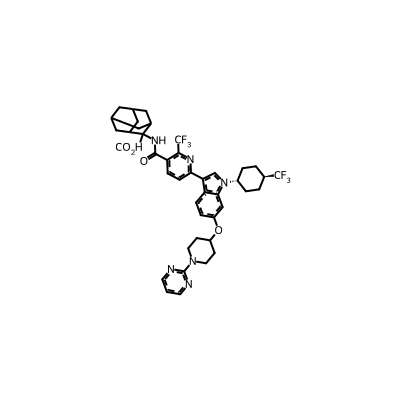 O=C(NC1(C(=O)O)C2CC3CC(C2)CC1C3)c1ccc(-c2cn([C@H]3CC[C@H](C(F)(F)F)CC3)c3cc(OC4CCN(c5ncccn5)CC4)ccc23)nc1C(F)(F)F